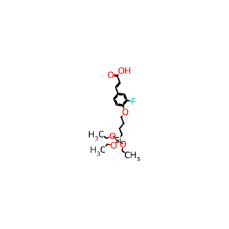 CCO[Si](CCCCOc1ccc(/C=C/C(=O)O)cc1F)(OCC)OCC